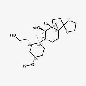 CC(=O)O[C@@H]1[C@@H]([C@@]2(C)CC[C@H](OS)C[C@@H]2CCO)CC[C@@]2(C)[C@H]1CCC21OCCO1